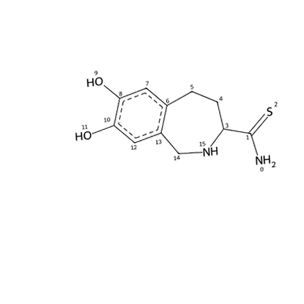 NC(=S)C1CCc2cc(O)c(O)cc2CN1